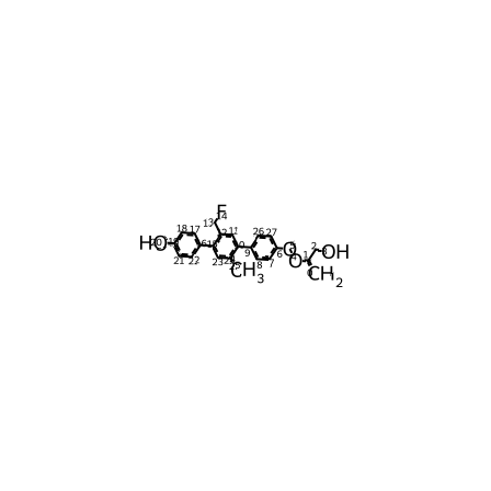 C=C(CO)OOc1ccc(-c2cc(CF)c(-c3ccc(O)cc3)cc2C)cc1